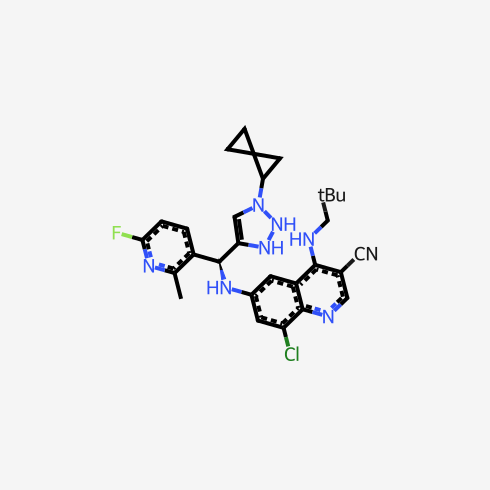 Cc1nc(F)ccc1[C@H](Nc1cc(Cl)c2ncc(C#N)c(NCC(C)(C)C)c2c1)C1=CN(C2CC23CC3)NN1